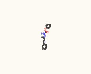 CC(/C=C/c1ccccc1)=N\NC(=O)Oc1ccccc1